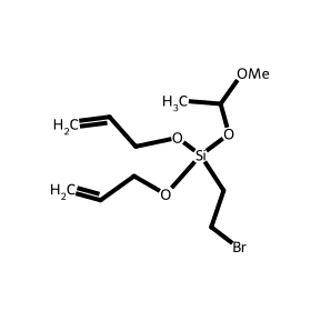 C=CCO[Si](CCBr)(OCC=C)OC(C)OC